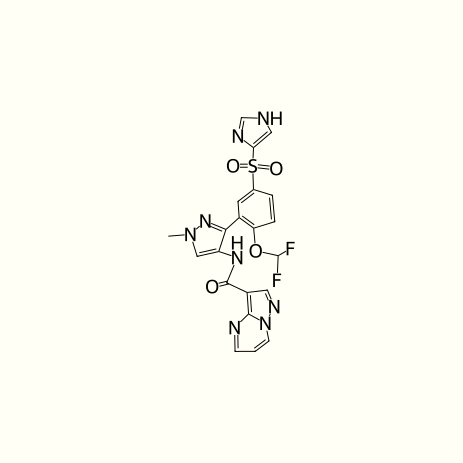 Cn1cc(NC(=O)c2cnn3cccnc23)c(-c2cc(S(=O)(=O)c3c[nH]cn3)ccc2OC(F)F)n1